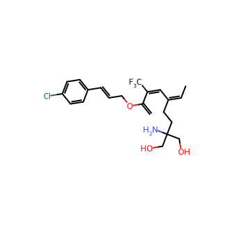 C=C(OC/C=C/c1ccc(Cl)cc1)/C(=C\C(=C/C)CCC(N)(CO)CO)C(F)(F)F